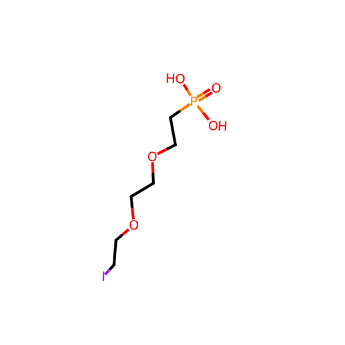 O=P(O)(O)CCOCCOCCI